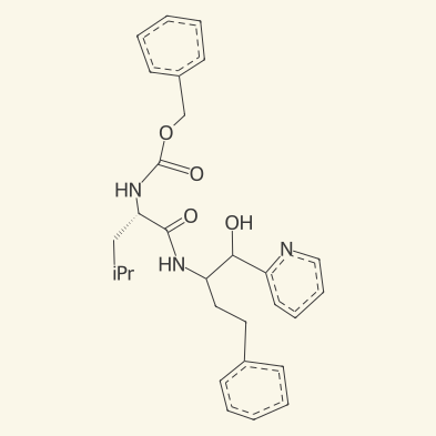 CC(C)C[C@H](NC(=O)OCc1ccccc1)C(=O)NC(CCc1ccccc1)C(O)c1ccccn1